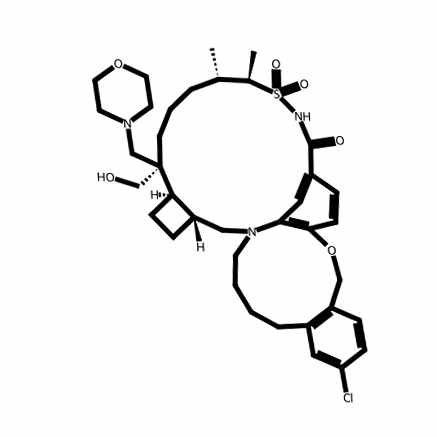 C[C@@H]1[C@@H](C)CCC[C@](CO)(CN2CCOCC2)[C@@H]2CC[C@H]2CN2CCCCc3cc(Cl)ccc3COc3ccc(cc32)C(=O)NS1(=O)=O